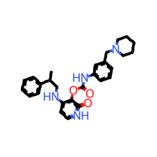 CC(CNc1cc[nH]c(=O)c1OC(=O)Nc1cccc(CN2CCCCC2)c1)c1ccccc1